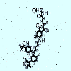 Cc1ccc(-c2c(C)noc2C)cc1N(CCCCNc1cc2c(cc1F)C(=O)N(C(C)CCC(=O)NC=O)C2=O)c1ccc(C2(C#N)CC2)cc1